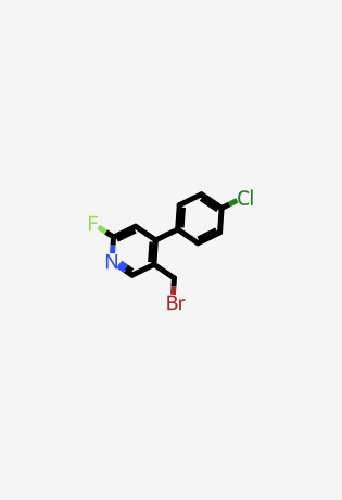 Fc1cc(-c2ccc(Cl)cc2)c(CBr)cn1